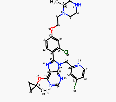 C[C@@H]1CNCCN1CCOc1ccc(-c2nc3c(OC4(C)CC4)ncnc3n2Cc2cc(Cl)ccn2)c(Cl)c1